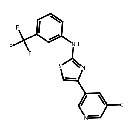 FC(F)(F)c1cccc(Nc2nc(-c3cncc(Cl)c3)cs2)c1